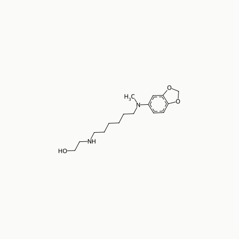 CN(CCCCCCNCCO)c1ccc2c(c1)OCO2